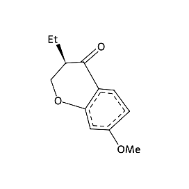 CC[C@@H]1COc2cc(OC)ccc2C1=O